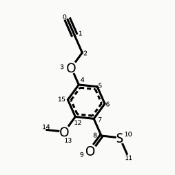 C#CCOc1ccc(C(=O)SC)c(OC)c1